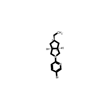 [CH2]C[C@@H]1C[C@@H]2CN(c3ccc(Br)cn3)C[C@@H]2C1